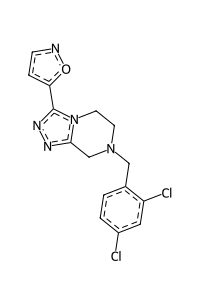 Clc1ccc(CN2CCn3c(nnc3-c3ccno3)C2)c(Cl)c1